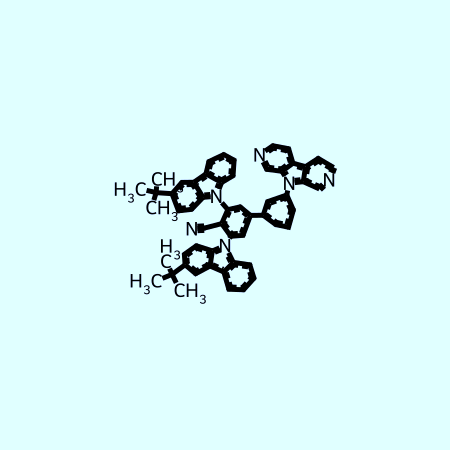 CC(C)(C)c1ccc2c(c1)c1ccccc1n2-c1cc(-c2cccc(-n3c4cnccc4c4ccncc43)c2)cc(-n2c3ccccc3c3cc(C(C)(C)C)ccc32)c1C#N